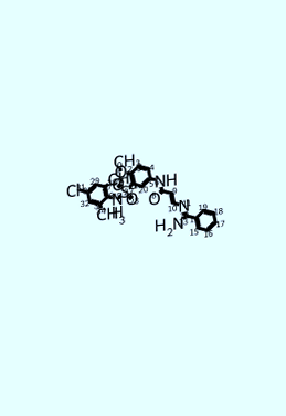 COc1ccc(NC(=O)/C=C/N=C(\N)c2ccccc2)cc1S(=O)(=O)Nc1c(C)cc(Cl)cc1C